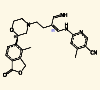 Cc1cc(N/C=C(\C=N)CCN2CCO[C@H](c3ccc4c(c3C)COC4=O)C2)ncc1C#N